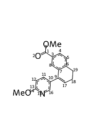 COC(=O)c1ccc2c(c1)C(c1ccc(OC)nc1)=CCC2